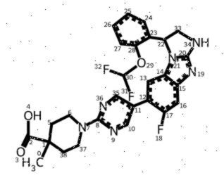 CC1(C(=O)O)CCN(c2ncc(-c3cc4c(cc3F)nc3n4C(c4ccccc4OC(F)F)CN3)cn2)CC1